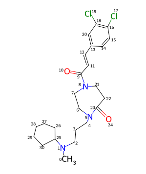 CN(CCCN1CCN(C(=O)C=Cc2ccc(Cl)c(Cl)c2)CCC1=O)C1CCCCC1